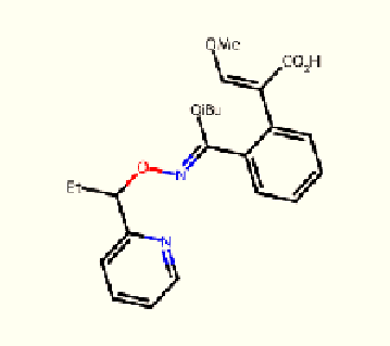 CCC(ON=C(OCC(C)C)c1ccccc1C(=COC)C(=O)O)c1ccccn1